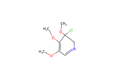 COC1=C(OC)C(Cl)(OC)[CH]N=C1